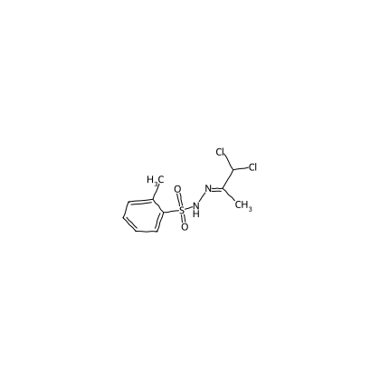 C/C(=N\NS(=O)(=O)c1ccccc1C)C(Cl)Cl